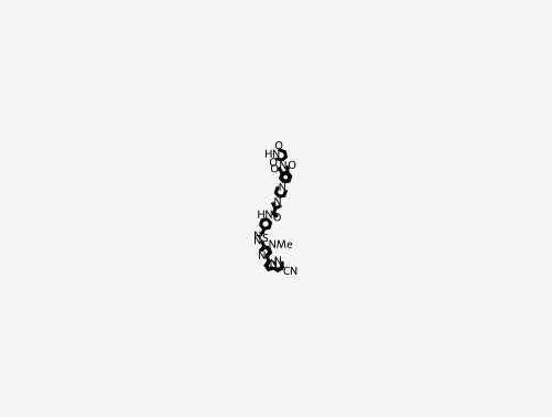 CNc1cc(-c2ccc3cc(C#N)cnn23)ncc1-c1nnc(C2CCC(NC(=O)C3CN(C4CCN(c5ccc6c(c5)C(=O)N(C5CCC(=O)NC5=O)C6=O)CC4)C3)CC2)s1